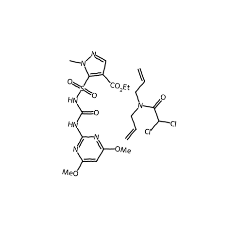 C=CCN(CC=C)C(=O)C(Cl)Cl.CCOC(=O)c1cnn(C)c1S(=O)(=O)NC(=O)Nc1nc(OC)cc(OC)n1